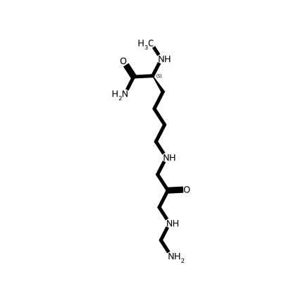 CN[C@@H](CCCCNCC(=O)CNCN)C(N)=O